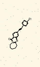 CCc1ccc(C#Cc2ccc3c(=O)n4c(nc3c2)CCCCC4)cc1